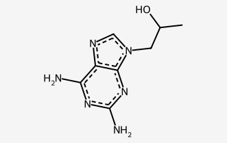 CC(O)Cn1cnc2c(N)nc(N)nc21